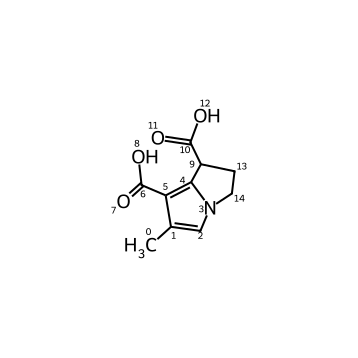 Cc1cn2c(c1C(=O)O)C(C(=O)O)CC2